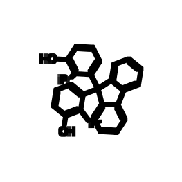 CC(C)c1c(O)cccc1C1(c2cccc(O)c2C(C)C)c2ccccc2-c2ccccc21